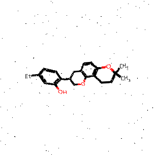 CCc1ccc(C2COc3c(ccc4c3CCC(C)(C)O4)C2)c(O)c1